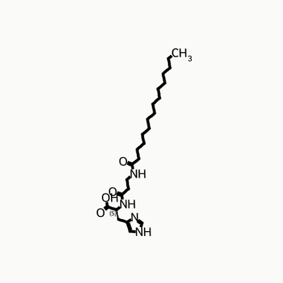 CCCCCCCCCCCCCCCC(=O)NCCC(=O)N[C@@H](Cc1c[nH]cn1)C(=O)O